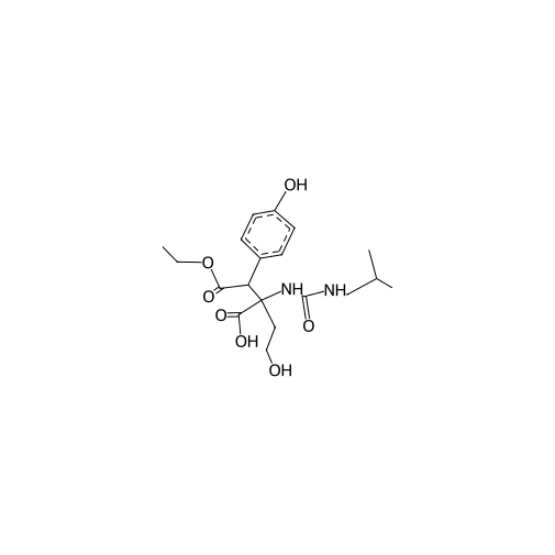 CCOC(=O)C(c1ccc(O)cc1)C(CCO)(NC(=O)NCC(C)C)C(=O)O